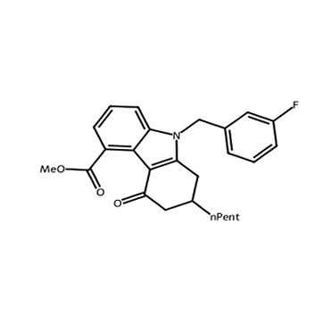 CCCCCC1CC(=O)c2c(n(Cc3cccc(F)c3)c3cccc(C(=O)OC)c23)C1